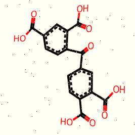 O=C(O)c1ccc(C(=O)c2ccc(C(=O)O)c(C(=O)O)c2)c(C(=O)O)c1